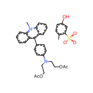 CC(=O)OCCN(CCOC(C)=O)c1ccc(-c2c3ccccc3[n+](C)c3ccccc23)cc1.Cc1ccc(O)cc1S(=O)(=O)[O-]